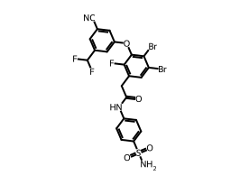 N#Cc1cc(Oc2c(F)c(CC(=O)Nc3ccc(S(N)(=O)=O)cc3)cc(Br)c2Br)cc(C(F)F)c1